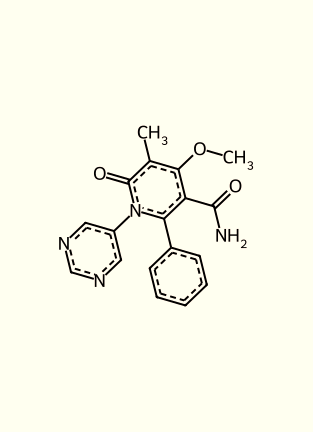 COc1c(C(N)=O)c(-c2ccccc2)n(-c2cncnc2)c(=O)c1C